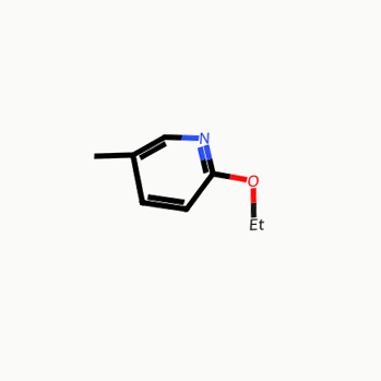 CCOc1ccc(C)cn1